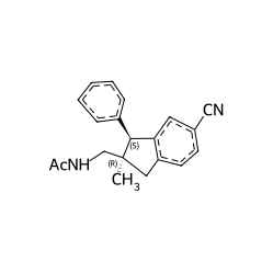 CC(=O)NC[C@]1(C)Cc2ccc(C#N)cc2[C@@H]1c1ccccc1